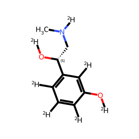 [2H]Oc1c([2H])c([2H])c([2H])c([C@@H](CN([2H])C)O[2H])c1[2H]